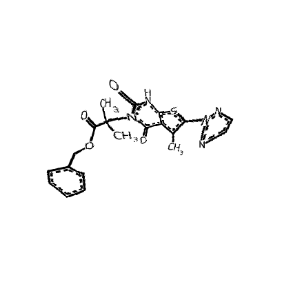 Cc1c(-n2nccn2)sc2[nH]c(=O)n(C(C)(C)C(=O)OCc3ccccc3)c(=O)c12